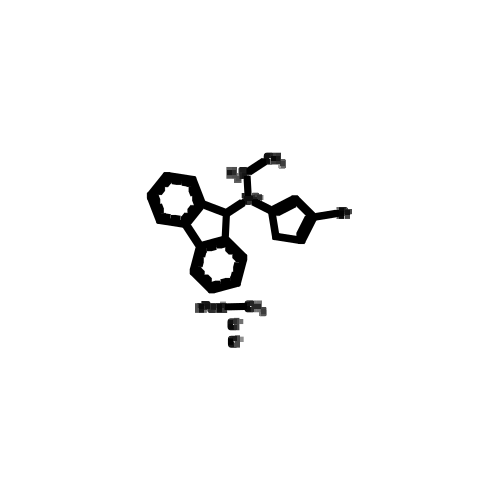 CCCCCC.C[SiH2][Zr+2]([C]1=CC(C(C)C)=CC1)[CH]1c2ccccc2-c2ccccc21.[Cl-].[Cl-]